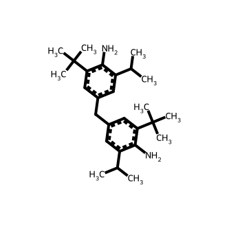 CC(C)c1cc(Cc2cc(C(C)C)c(N)c(C(C)(C)C)c2)cc(C(C)(C)C)c1N